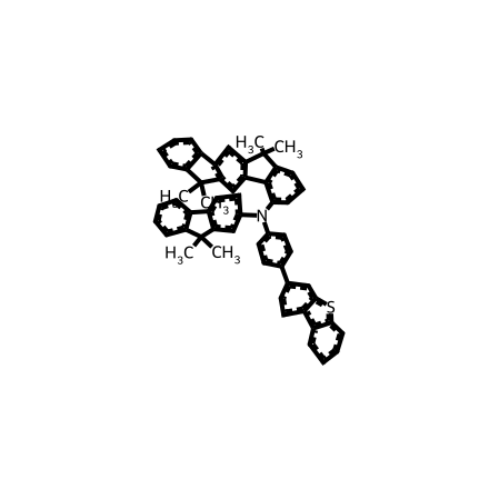 CC1(C)c2ccccc2-c2ccc(N(c3ccc(-c4ccc5c(c4)sc4ccccc45)cc3)c3cccc4c3-c3cc5c(cc3C4(C)C)-c3ccccc3C5(C)C)cc21